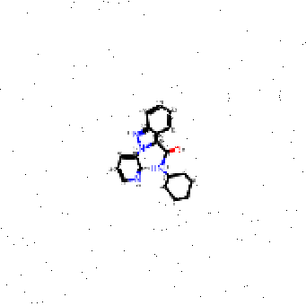 O=C(NC1CCCCC1)c1c2ccccc2nn1-c1cccnc1